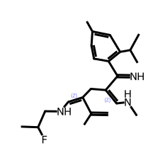 C=C(C)/C(=C\NCC(C)F)C/C(=C/NC)C(=N)c1ccc(C)cc1C(C)C